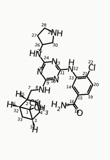 CC1(C)[C@@H]2CC[C@@H](CNc3nc(Nc4cc(C(N)=O)ccc4Cl)nc(NC4CCNC4)n3)[C@H]1C2